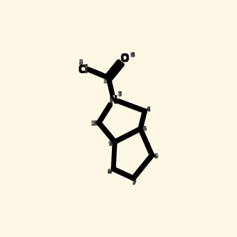 O=C(Cl)N1CC2CCCC2C1